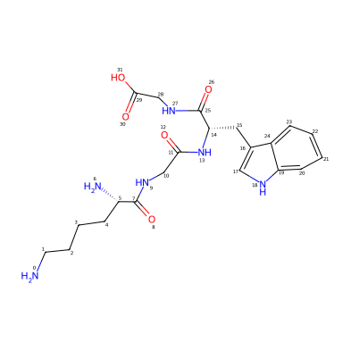 NCCCC[C@H](N)C(=O)NCC(=O)N[C@@H](Cc1c[nH]c2ccccc12)C(=O)NCC(=O)O